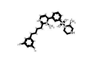 C[C@H]1CNCCN1S(=O)(=O)c1cccc(C2C=CN=C(CCCCc3cc(F)cc(F)c3)N2C)c1